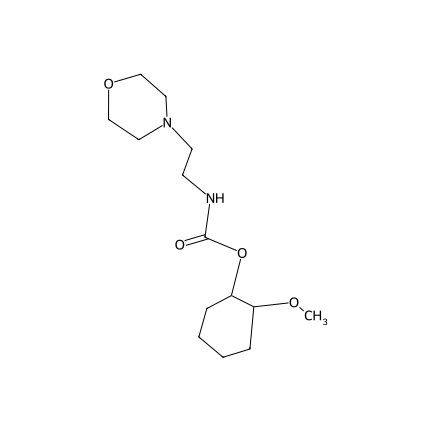 COC1CCCCC1OC(=O)NCCN1CCOCC1